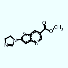 COC(=O)c1cnc2cc(N3C=NCC3)sc2c1